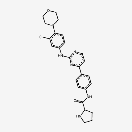 O=C(Nc1ccc(-c2ccnc(Nc3ccc(N4CCOCC4)c(Cl)c3)n2)cc1)C1CCCN1